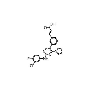 O=C(O)/C=C/c1cccc(-c2cnc(Nc3ccc(F)c(Cl)c3)nc2-n2cccc2)c1